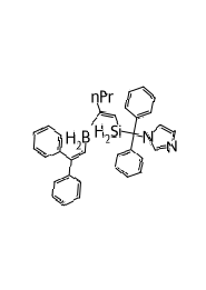 BC=C(c1ccccc1)c1ccccc1.CCCC(C)=C[SiH2]C(c1ccccc1)(c1ccccc1)n1ccnc1